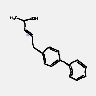 CC(O)/C=C/Cc1ccc(-c2ccccc2)cc1